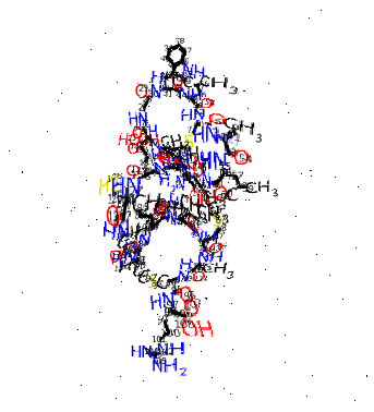 C/C=C(\NC(=O)[C@@H]1CSC[C@H](NC(=O)[C@@H](N)CO)C(=O)N[C@@H](CO)C(=O)NCC(=O)N[C@@H](Cc2c[nH]c3ccccc23)C(=O)N[C@@H](CC(C)C)C(=O)N1)C(=O)N[C@@H](CC(C)C)C(=O)N[C@H]1CCSC[C@@H]2NC(=O)[C@H]([C@@H](C)CC)NC(=O)[C@H]([C@@H](C)CC)NC(=O)[C@H](CCSC[C@@H](C(=O)N[C@@H](CCCNC(=N)N)C(=O)O)NC(=O)[C@H](C)NC2=O)NC(=O)CNC(=O)[C@H](CS)NC(=O)[C@H](CCC(=O)O)NC(=O)[C@H]([C@@H](C)CC)NC1=O